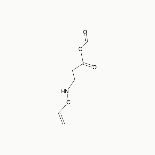 C=CONCCC(=O)OC=O